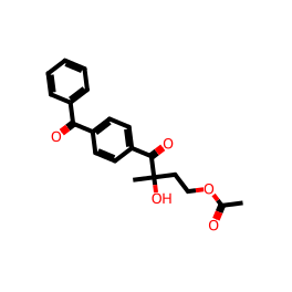 CC(=O)OCCC(C)(O)C(=O)c1ccc(C(=O)c2ccccc2)cc1